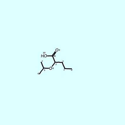 CCCC(OC(C)C)C(=O)O